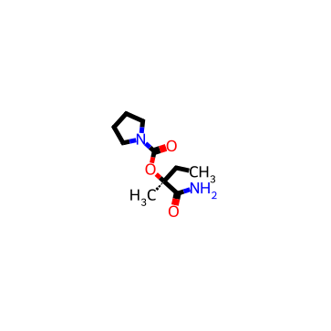 CC[C@](C)(OC(=O)N1CCCC1)C(N)=O